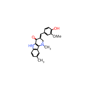 COc1cc(/C=C2\CN(C)c3c([nH]c4ccc(C)cc34)C2=O)ccc1O